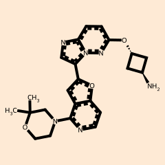 CC1(C)CN(c2nccc3oc(-c4cnc5ccc(O[C@H]6C[C@H](N)C6)nn45)cc23)CCO1